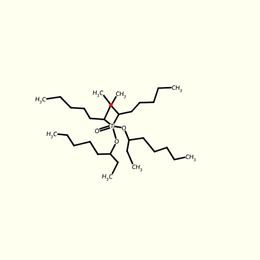 CCCCCC(CC)[O][Ti](=[O])([O]C(CC)CCCCC)([CH](CC)CCCCC)[CH](CC)CCCCC